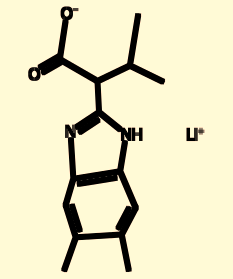 Cc1cc2nc(C(C(=O)[O-])C(C)C)[nH]c2cc1C.[Li+]